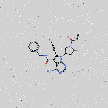 C=CC(=O)N1CC(n2c(C#CC(C)(C)C)c(C(=O)NCc3ccccc3)c3c(N)ncnc32)CC1C